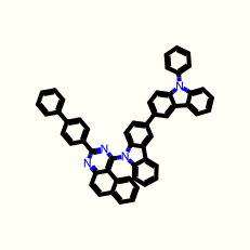 c1ccc(-c2ccc(-c3nc(-n4c5ccccc5c5cc(-c6ccc7c(c6)c6ccccc6n7-c6ccccc6)ccc54)c4c(ccc5ccccc54)n3)cc2)cc1